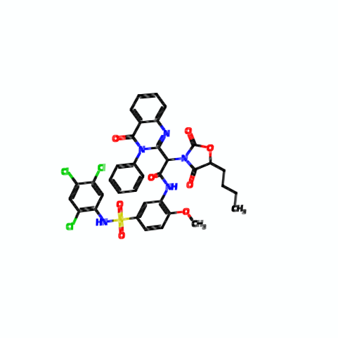 CCCCC1OC(=O)N(C(C(=O)Nc2cc(S(=O)(=O)Nc3cc(Cl)c(Cl)cc3Cl)ccc2OC)c2nc3ccccc3c(=O)n2-c2ccccc2)C1=O